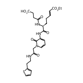 CCOC(=O)C=CCC[C@H](NC(=O)CCC(=O)O)C(=O)Nc1cccn(CC(=O)NCCc2cccs2)c1=O